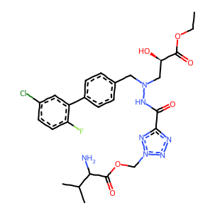 CCOC(=O)[C@H](O)CN(Cc1ccc(-c2cc(Cl)ccc2F)cc1)NC(=O)c1nnn(COC(=O)C(N)C(C)C)n1